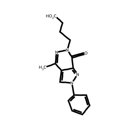 Cc1nn(CCCC(=O)O)c(=O)c2nn(-c3ccccc3)cc12